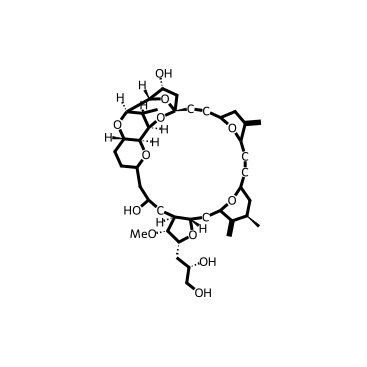 C=C1CC2CC[C@]34C[C@@H](O)[C@H](O3)[C@@H]3O[C@H]5CCC(CC(O)C[C@@H]6[C@@H](OC)[C@@H](C[C@H](O)CO)O[C@H]6CC6OC(CCC1O2)C[C@@H](C)C6=C)O[C@@H]5[C@H](O4)[C@@H]3C